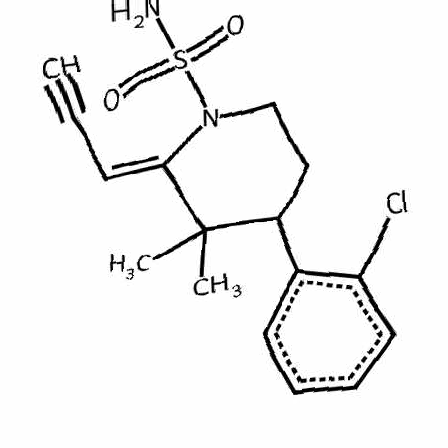 C#CC=C1N(S(N)(=O)=O)CCC(c2ccccc2Cl)C1(C)C